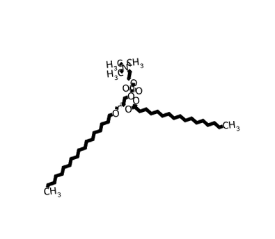 CCCCCCCCCCCCCCCCCCOC[C@H](COP(=O)([O-])OCC[N+](C)(C)C)OC(=O)CCCCCCCCCCCCCCCC